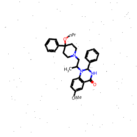 CCCOC1(c2ccccc2)CCN(CC(C)N2c3ccc(OC)cc3C(=O)NC2c2ccccc2)CC1